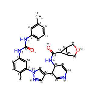 Cc1ccc(NC(=O)Nc2cccc(C(F)(F)F)c2)cc1-n1cc(C2C=NC=CC2NC(=O)C2C3COCC32)cn1